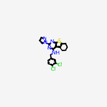 Clc1ccc(CNc2nc(-n3cccn3)nc3sc4c(c23)CCCC4)cc1Cl